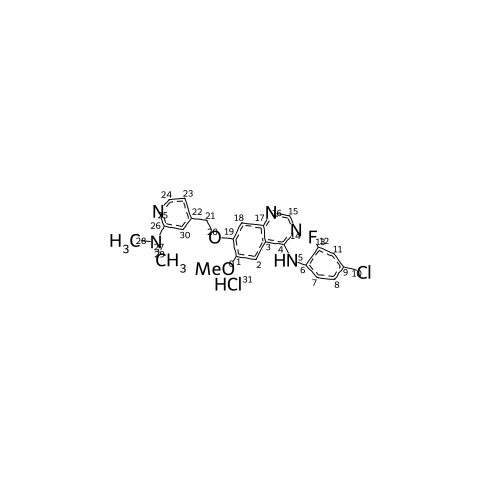 COc1cc2c(Nc3ccc(Cl)cc3F)ncnc2cc1OCc1ccnc(N(C)C)c1.Cl